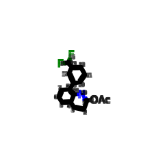 CC(=O)Oc1ccc2cccc(-c3cccc(C(F)F)c3)c2n1